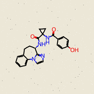 O=C(NC1(C(=O)N[C@@H]2CCc3ccccc3-n3ccnc32)CC1)c1ccc(O)cc1